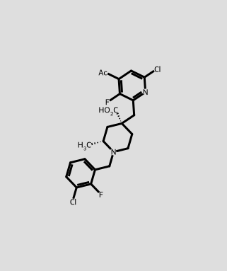 CC(=O)c1cc(Cl)nc(C[C@@]2(C(=O)O)CCN(Cc3cccc(Cl)c3F)[C@H](C)C2)c1F